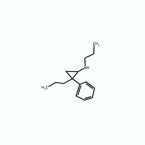 CCCNC1CC1(CCC)c1ccccc1